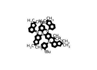 CC1(C)Cc2cc3c(cc2C1)N(c1cccc2c1CC(C)(C)C2)c1cc(C(C)(C)C)cc2c1B3c1cc3c(cc1N2c1cccc2c1CC(C)(C)C2)C(C)(C)c1c(ccc2c1CC(C)(C)C2)N3c1cccc(C(C)(C)C)c1